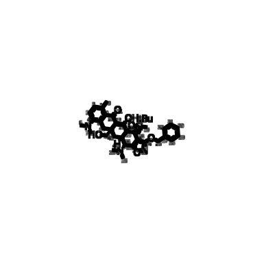 Cc1ccc(N(C)C)c2c1C(=O)C1=C(O)[C@]3(O[Si](C)(C)C(C)(C)C)C(=O)c4c(OCc5ccccc5)noc4[C@@H](N(C)C)[C@@H]3C[C@]1(CO)C2